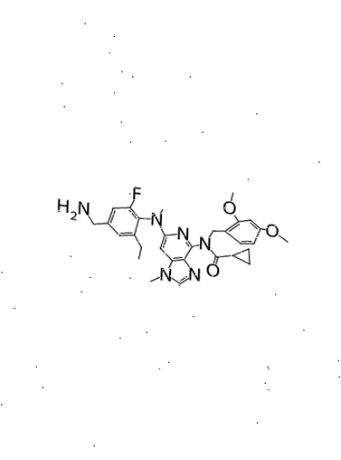 CCc1cc(CN)cc(F)c1N(C)c1cc2c(ncn2C)c(N(Cc2ccc(OC)cc2OC)C(=O)C2CC2)n1